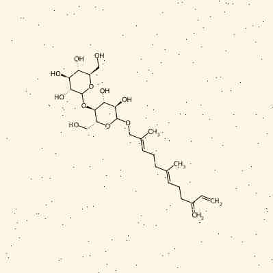 C=CC(=C)CC/C=C(\C)CC/C=C(\C)COC1O[C@H](CO)[C@@H](OC2O[C@H](CO)[C@@H](O)[C@H](O)[C@H]2O)[C@H](O)[C@H]1O